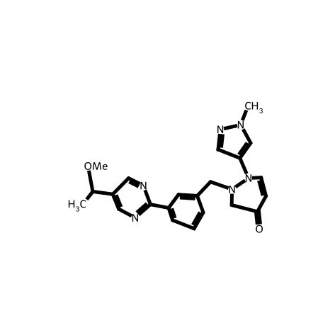 COC(C)c1cnc(-c2cccc(CN3CC(=O)C=CN3c3cnn(C)c3)c2)nc1